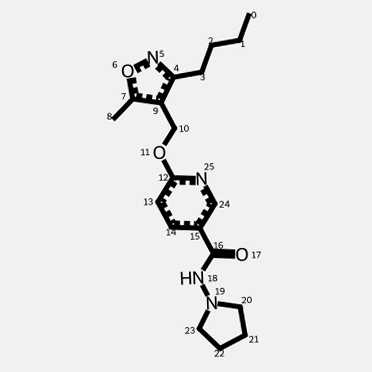 CCCCc1noc(C)c1COc1ccc(C(=O)NN2CCCC2)cn1